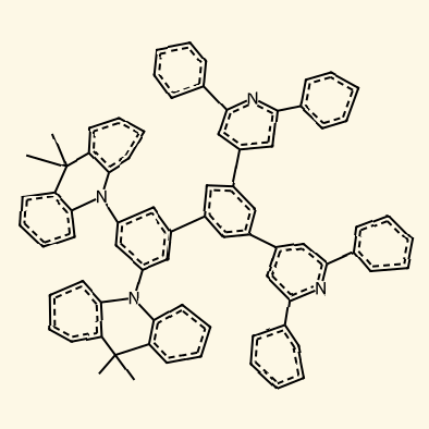 CC1(C)c2ccccc2N(c2cc(-c3cc(-c4cc(-c5ccccc5)nc(-c5ccccc5)c4)cc(-c4cc(-c5ccccc5)nc(-c5ccccc5)c4)c3)cc(N3c4ccccc4C(C)(C)c4ccccc43)c2)c2ccccc21